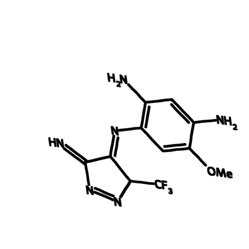 COc1cc(N=C2C(=N)N=NC2C(F)(F)F)c(N)cc1N